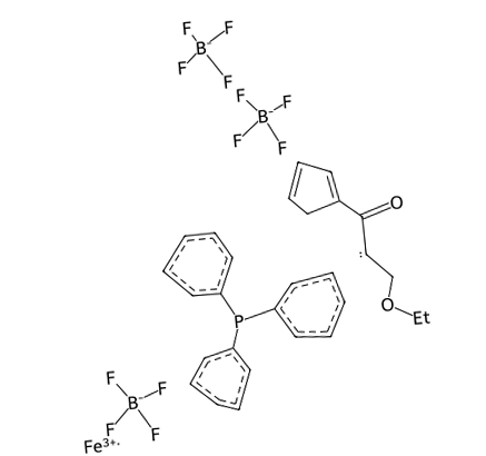 CCOC[C]C(=O)C1=CC=CC1.F[B-](F)(F)F.F[B-](F)(F)F.F[B-](F)(F)F.[Fe+3].c1ccc(P(c2ccccc2)c2ccccc2)cc1